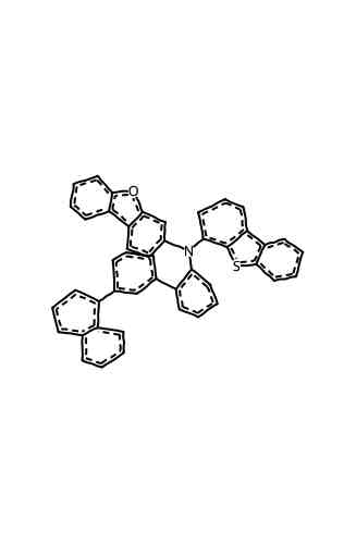 c1cc(-c2ccccc2N(c2ccc3c(c2)oc2ccccc23)c2cccc3c2sc2ccccc23)cc(-c2cccc3ccccc23)c1